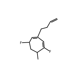 C=CCCC1=CC(F)CC(C)C(F)=C1